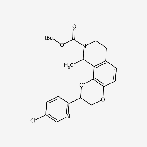 CC1c2c(ccc3c2OC(c2ccc(Cl)cn2)CO3)CCN1C(=O)OC(C)(C)C